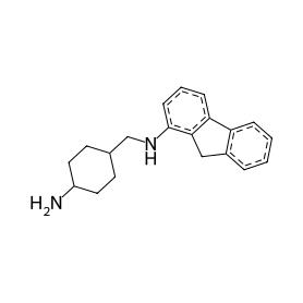 NC1CCC(CNc2cccc3c2Cc2ccccc2-3)CC1